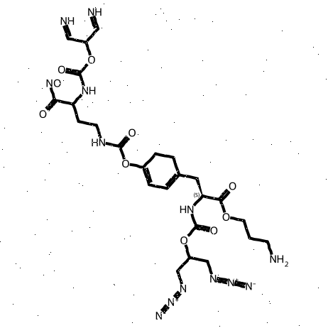 [N-]=[N+]=NCC(CN=[N+]=[N-])OC(=O)N[C@@H](CC1=CC=C(OC(=O)NCCC(NC(=O)OC(C=N)C=N)C(=O)N=O)CC1)C(=O)OCCCN